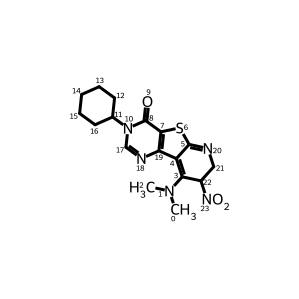 CN(C)C1=c2c(sc3c(=O)n(C4CCCCC4)cnc23)=NCC1[N+](=O)[O-]